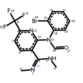 C/N=C(/NC)c1ccc(C(F)(F)F)nc1N(C=O)c1ccccc1Br